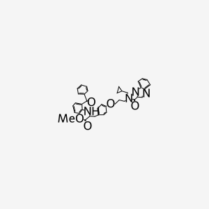 COC(=O)C(Cc1ccc(OCCCN(CC2CC2)C(=O)c2cnc3ccccc3n2)cc1)Nc1ccccc1C(=O)c1ccccc1